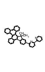 CC1(C)c2cc(-c3cccc(-c4ccccn4)n3)ccc2-c2c1c1c3ccccc3c3ccccc3c1c1ccccc21